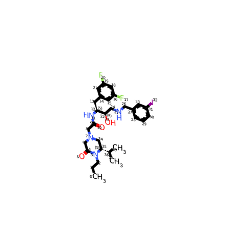 CCCN1C(=O)CN(CC(=O)N[C@@H](Cc2cc(F)cc(F)c2)[C@H](O)CNCc2cccc(I)c2)C[C@@H]1C(C)C